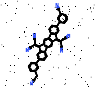 N#CCc1cccc(-c2ccc3c(c2)C(=C(C#N)C#N)c2cc4c(cc2-3)C(=C(C#N)C#N)c2cc(-c3cccc(C#N)c3)ccc2-4)c1